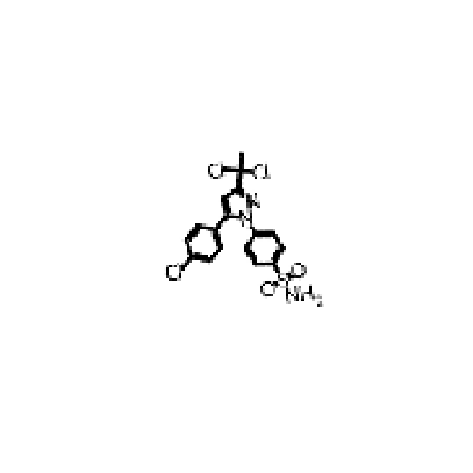 CC(Cl)(Cl)c1cc(-c2ccc(Cl)cc2)n(-c2ccc(S(N)(=O)=O)cc2)n1